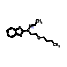 C/C=N/N(CCOCCCC)c1nc2ccccc2s1